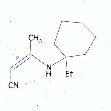 CCC1(N/C(C)=C\C#N)CCCCC1